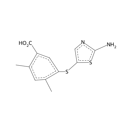 Cc1cc(C)c(C(=O)O)cc1Sc1cnc(N)s1